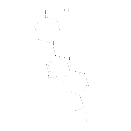 C[C@@H]1CN(c2cnc3cc(C(F)(F)F)ccc3n2)CCN1